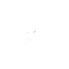 Cc1c(CCO)sc[n+]1CC(=O)c1ccc2c(c1)OCCCO2.[Br-]